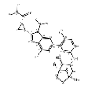 CC(C)n1c([C@@H]2C[C@@H]2C(=O)N(C)C)nc2c(F)cc(-c3nc(N[C@@H]4C[C@H]5CO[C@H](O5)[C@H]4O)ncc3Cl)cc21